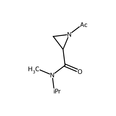 CC(=O)N1CC1C(=O)N(C)C(C)C